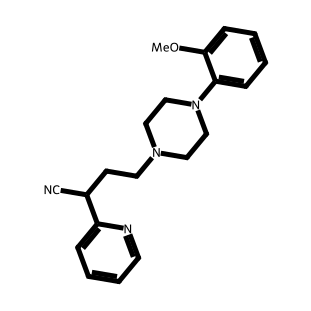 COc1ccccc1N1CCN(CCC(C#N)c2ccccn2)CC1